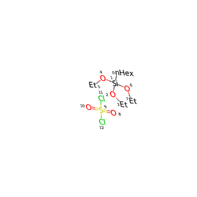 CCCCCC[Si](OCC)(OCC)OCC.O=S(=O)(Cl)Cl